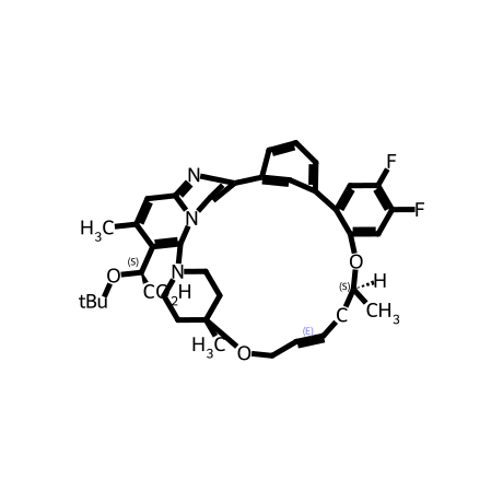 Cc1cc2nc3cn2c(c1[C@H](OC(C)(C)C)C(=O)O)N1CCC(C)(CC1)OC/C=C/C[C@H](C)Oc1cc(F)c(F)cc1-c1cccc-3c1